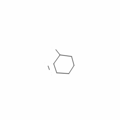 BrC1CCCCC1.CC(=O)Br